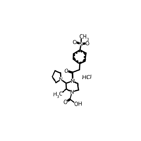 CC1C(N2CCCC2)N(C(=O)Cc2ccc(S(C)(=O)=O)cc2)CCN1C(=O)O.Cl